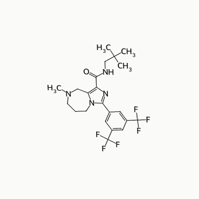 CN1CCCn2c(-c3cc(C(F)(F)F)cc(C(F)(F)F)c3)nc(C(=O)NCC(C)(C)C)c2C1